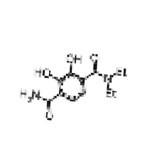 CCN(CC)C(=O)c1ccc(C(N)=O)c(O)c1O